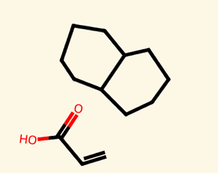 C1CCC2CCCCC2C1.C=CC(=O)O